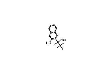 CC(C)(C)[C@@](C)(c1nc2ccccc2cc1O)C(C)(C)I